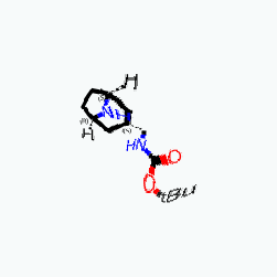 CC(C)(C)OC(=O)NC[C@@H]1C[C@H]2CC[C@@H](C1)N2